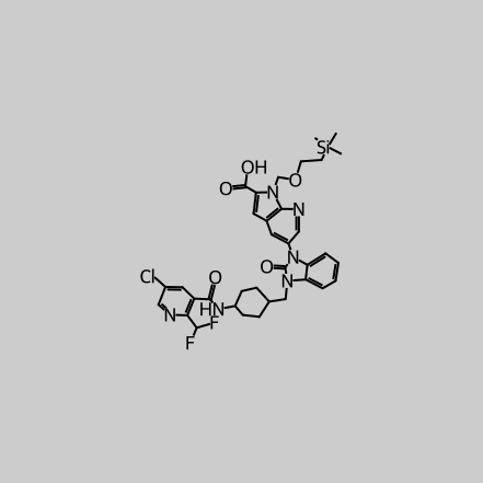 C[Si](C)(C)CCOCn1c(C(=O)O)cc2cc(-n3c(=O)n(CC4CCC(NC(=O)c5cc(Cl)cnc5C(F)F)CC4)c4ccccc43)cnc21